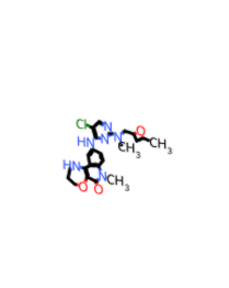 CC1CC(CN(C)c2ncc(Cl)c(Nc3ccc4c(c3)c3c(c(=O)n4C)OCCCN3)n2)O1